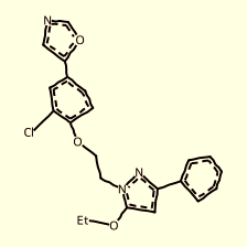 CCOc1cc(-c2ccccc2)nn1CCOc1ccc(-c2cnco2)cc1Cl